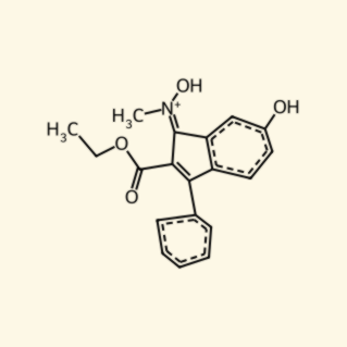 CCOC(=O)C1=C(c2ccccc2)c2ccc(O)cc2/C1=[N+](/C)O